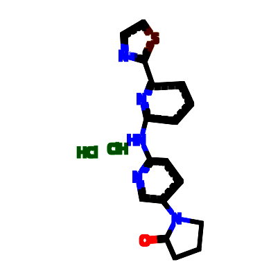 Cl.Cl.O=C1CCCN1c1ccc(Nc2cccc(-c3nccs3)n2)nc1